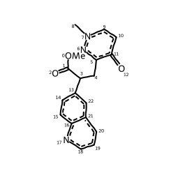 COC(=O)C(Cc1nn(C)ccc1=O)c1ccc2ncccc2c1